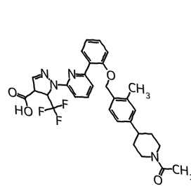 CC(=O)N1CCC(c2ccc(COc3ccccc3-c3cccc(N4N=CC(C(=O)O)C4C(F)(F)F)n3)c(C)c2)CC1